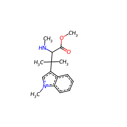 CNC(C(=O)OC)C(C)(C)c1cn(C)c2ccccc12